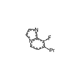 CC(C)c1ccn2ccnc2c1F